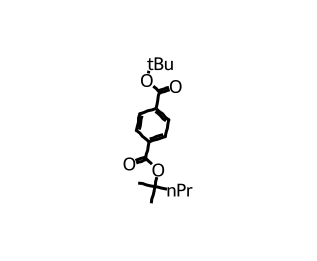 CCCC(C)(C)OC(=O)c1ccc(C(=O)OC(C)(C)C)cc1